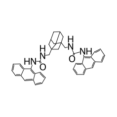 O=C(NCC12CC3CC(C1)CC(CNC(=O)Nc1c4ccccc4cc4ccccc14)(C3)C2)Nc1c2ccccc2cc2ccccc12